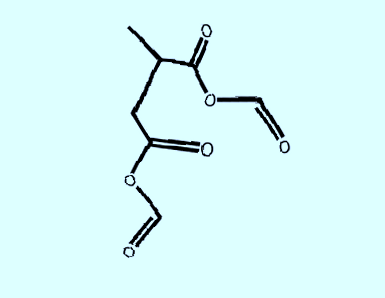 CC(CC(=O)OC=O)C(=O)OC=O